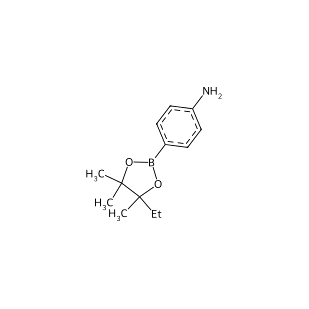 CCC1(C)OB(c2ccc(N)cc2)OC1(C)C